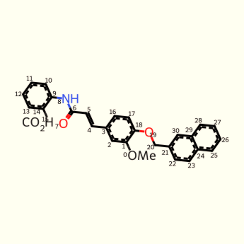 COc1cc(C=CC(=O)Nc2ccccc2C(=O)O)ccc1OCc1ccc2ccccc2c1